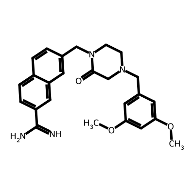 COc1cc(CN2CCN(Cc3ccc4ccc(C(=N)N)cc4c3)C(=O)C2)cc(OC)c1